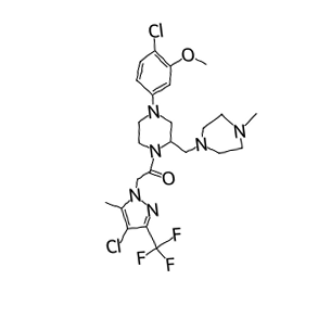 COc1cc(N2CCN(C(=O)Cn3nc(C(F)(F)F)c(Cl)c3C)C(CN3CCN(C)CC3)C2)ccc1Cl